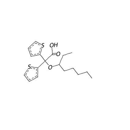 CCCCCC(CC)OC(C(=O)O)(c1cccs1)c1cccs1